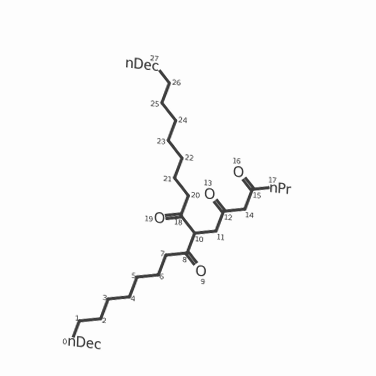 CCCCCCCCCCCCCCCCCC(=O)C(CC(=O)CC(=O)CCC)C(=O)CCCCCCCCCCCCCCCCC